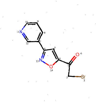 O=C(CBr)c1cc(-c2cccnc2)no1